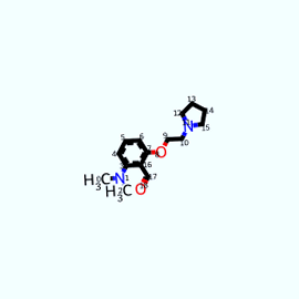 CN(C)c1cccc(OCCN2CCCC2)c1C=O